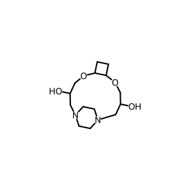 OC1COC2CCC2OCC(O)CN2CCN(CC2)C1